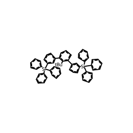 CC(C)(C)c1c(-c2cccc([Si](c3ccccc3)(c3ccccc3)c3ccccc3)c2)cccc1-c1cccc([Si](c2ccccc2)(c2ccccc2)c2ccccc2)c1